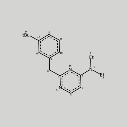 CCN(CC)c1ccnc(Cc2cccc(C(C)(C)C)c2)n1